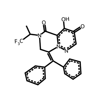 CC(N1CC(=C(c2ccccc2)c2ccccc2)n2ncc(=O)c(O)c2C1=O)C(F)(F)F